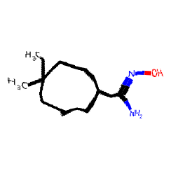 CC1(C)CCCC(C(N)=NO)CC1